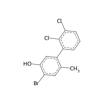 Cc1cc(Br)c(O)cc1-c1cccc(Cl)c1Cl